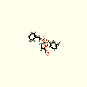 Cc1cccc(SC2(C(=O)OCc3ccccc3)CCC(=O)O2)c1